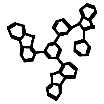 c1ccc(-c2nc3ccccc3n2-c2cccc(-c3cc(-c4cccc5c4oc4ccccc45)cc(-c4cccc5c4sc4ccccc45)c3)c2)cc1